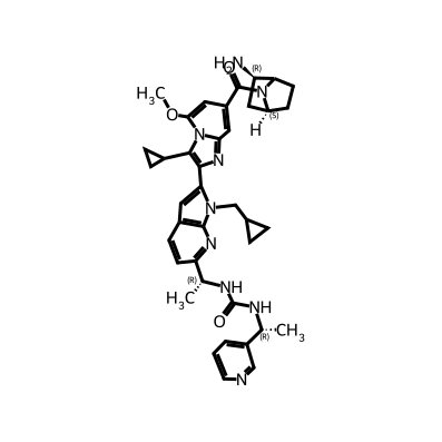 COc1cc(C(=O)N2C3CC[C@H]2C[C@H]3N)cc2nc(-c3cc4ccc([C@@H](C)NC(=O)N[C@H](C)c5cccnc5)nc4n3CC3CC3)c(C3CC3)n12